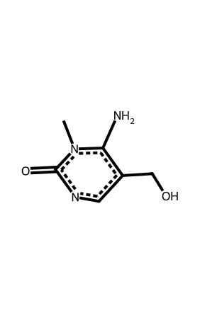 Cn1c(N)c(CO)cnc1=O